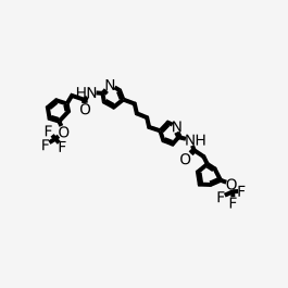 O=C(Cc1cccc(OC(F)(F)F)c1)Nc1ccc(CCCCc2ccc(NC(=O)Cc3cccc(OC(F)(F)F)c3)nc2)cn1